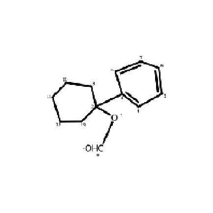 O=[C]OC1(c2ccccc2)CCCCC1